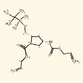 C=CCOC(=O)N[C@H]1C[C@@H](CO[Si](C)(C)C(C)(C)C)N(C(=O)OCC=C)C1